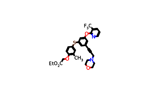 CCOC(=O)COc1ccc(Sc2cc(C#CCN3CCOCC3)cc(Oc3ncccc3C(F)(F)F)c2)cc1C